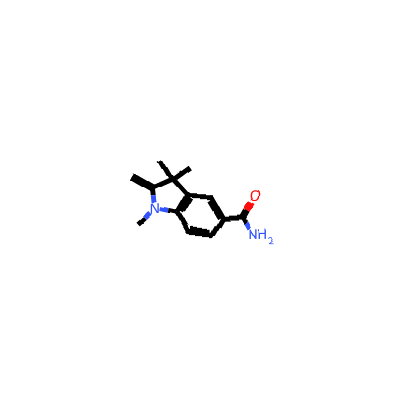 C=C1N(C)c2ccc(C(N)=O)cc2C1(C)C